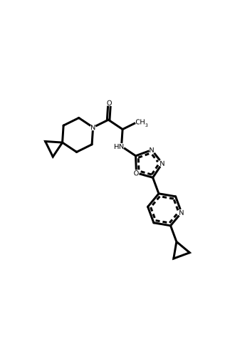 CC(Nc1nnc(-c2ccc(C3CC3)nc2)o1)C(=O)N1CCC2(CC1)CC2